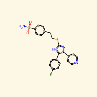 NS(=O)(=O)c1ccc(CCSc2nc(-c3ccncc3)c(-c3ccc(F)cc3)[nH]2)cc1